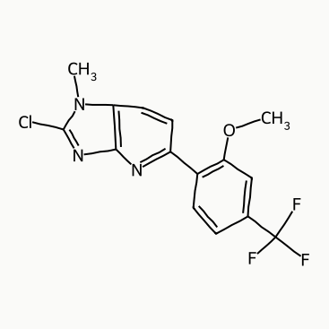 COc1cc(C(F)(F)F)ccc1-c1ccc2c(n1)nc(Cl)n2C